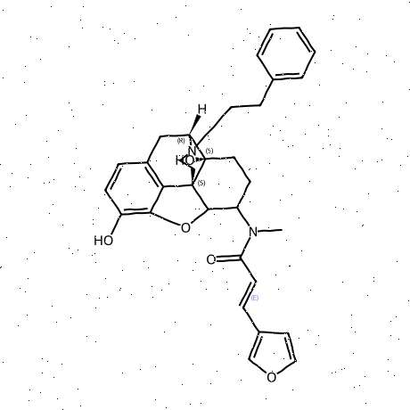 CN(C(=O)/C=C/c1ccoc1)C1CC[C@@]2(O)[C@H]3Cc4ccc(O)c5c4[C@@]2(CCN3CCc2ccccc2)C1O5